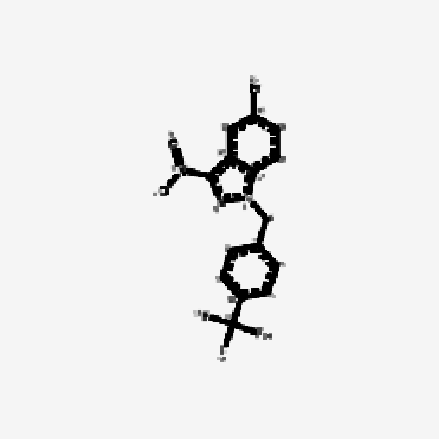 O=[N+]([O-])c1nn(Cc2ccc(C(F)(F)F)cc2)c2ccc(Br)cc12